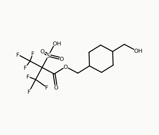 O=C(OCC1CCC(CO)CC1)C(C(F)(F)F)(C(F)(F)F)S(=O)(=O)O